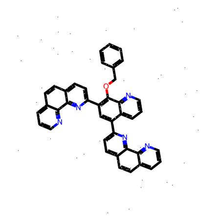 c1ccc(COc2c(-c3ccc4ccc5cccnc5c4n3)cc(-c3ccc4ccc5cccnc5c4n3)c3cccnc23)cc1